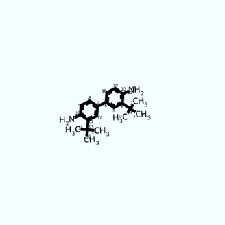 CC(C)(C)c1cc(-c2ccc(N)c(C(C)(C)C)c2)ccc1N